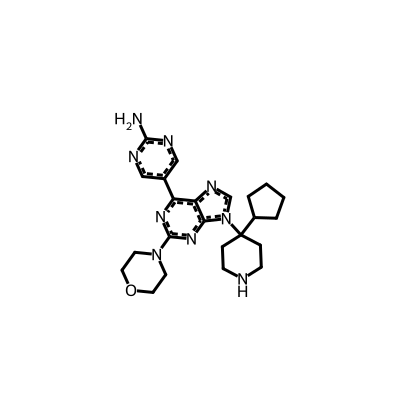 Nc1ncc(-c2nc(N3CCOCC3)nc3c2ncn3C2(C3CCCC3)CCNCC2)cn1